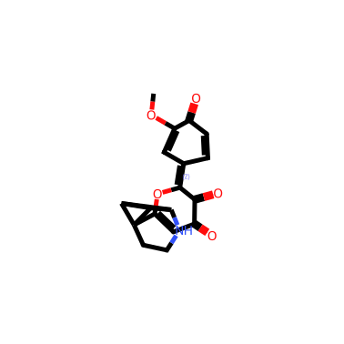 COC1=C/C(=C2\OC(C34CCNC5C3C54)=CC(=O)C2=O)C=CC1=O